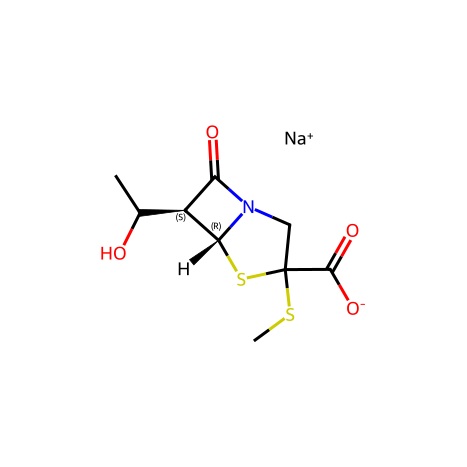 CSC1(C(=O)[O-])CN2C(=O)[C@H](C(C)O)[C@H]2S1.[Na+]